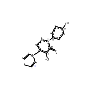 C=CN(/C=C\C)c1cnn(-c2ccc(F)cc2)c(=O)c1Cl